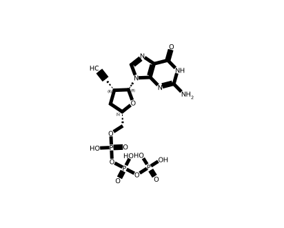 C#C[C@H]1C[C@@H](COP(=O)(O)OP(=O)(O)OP(=O)(O)O)O[C@H]1n1cnc2c(=O)[nH]c(N)nc21